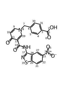 O=C(O)c1ccc(Cn2ccc(=O)c(C(=O)Nc3nsc4ccc([N+](=O)[O-])cc34)c2)cc1